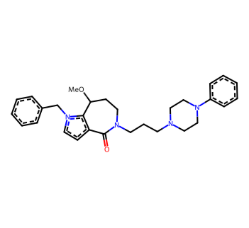 COC1CCN(CCCN2CCN(c3ccccc3)CC2)C(=O)c2ccn(Cc3ccccc3)c21